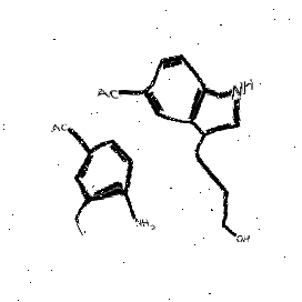 CC(=O)c1ccc(N)c(I)c1.CC(=O)c1ccc2[nH]cc(CCCO)c2c1